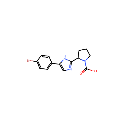 O=C(O)N1CCCC1c1ncc(-c2ccc(Br)cc2)[nH]1